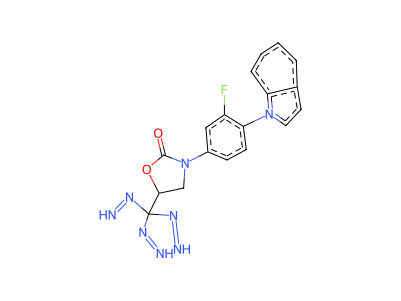 N=NC(N=N)(N=N)C1CN(c2ccc(-n3ccc4ccccc43)c(F)c2)C(=O)O1